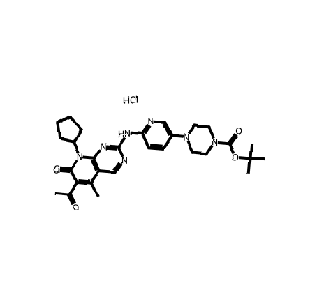 CC(=O)c1c(C)c2cnc(Nc3ccc(N4CCN(C(=O)OC(C)(C)C)CC4)cn3)nc2n(C2CCCC2)c1=O.Cl